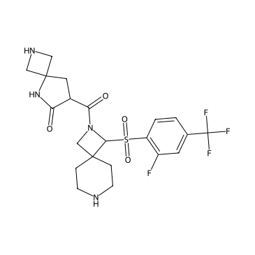 O=C1NC2(CNC2)CC1C(=O)N1CC2(CCNCC2)C1S(=O)(=O)c1ccc(C(F)(F)F)cc1F